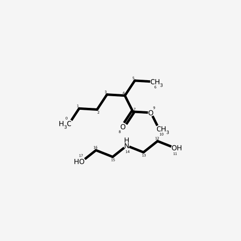 CCCCC(CC)C(=O)OC.OCCNCCO